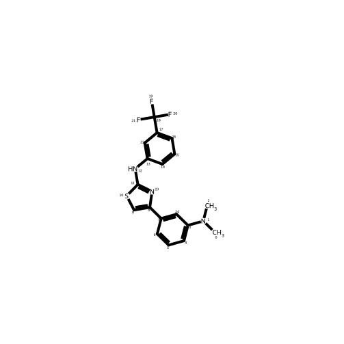 CN(C)c1cccc(-c2csc(Nc3cccc(C(F)(F)F)c3)n2)c1